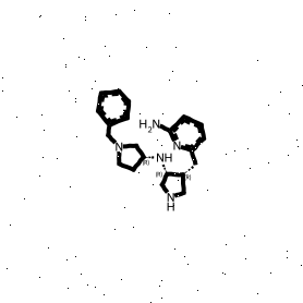 Nc1cccc(C[C@@H]2CNC[C@@H]2N[C@@H]2CCN(Cc3ccccc3)C2)n1